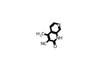 Cc1c(C#N)c(=O)[nH]c2cnccc12